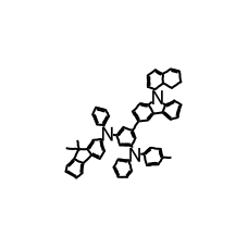 Cc1ccc(N(c2ccccc2)c2cc(-c3ccc4c(c3)c3ccccc3n4C3C=CC=C4C=CCCC43)cc(N(c3ccccc3)c3ccc4c(c3)C(C)(C)c3ccccc3-4)c2)cc1